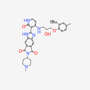 Cc1ccc(OC[C@H](O)CNc2cc[nH]c(=O)c2-c2nc3cc4c(cc3[nH]2)C(=O)N(C2CCN(C)CC2)C4=O)c(C(C)(C)C)c1